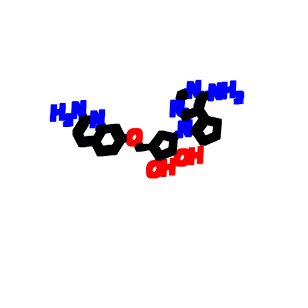 Nc1ccc2ccc(OC[C@H]3C[C@@H](n4c5c(c6c(N)ncnc64)CCC5)[C@H](O)[C@@H]3O)cc2n1